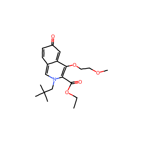 CCOC(=O)c1c(OCCOC)c2cc(=O)ccc-2cn1CC(C)(C)C